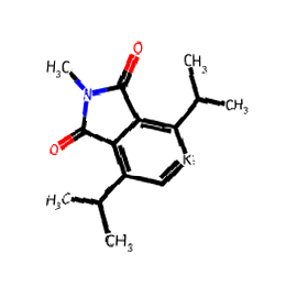 CC(C)C1=C2C(=O)N(C)C(=O)C2=[C](C(C)C)[K]=[CH]1